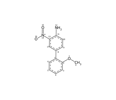 COc1ccccc1-c1ccc(N)c([N+](=O)[O-])c1